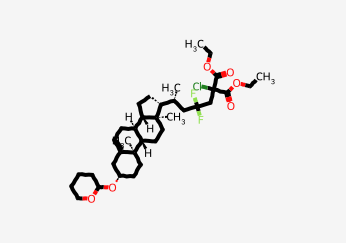 CCOC(=O)C(Cl)(CC(F)(F)C[C@@H](C)[C@H]1CC[C@H]2[C@@H]3CC=C4C[C@@H](OC5CCCCO5)CC[C@]4(C)[C@H]3CC[C@]12C)C(=O)OCC